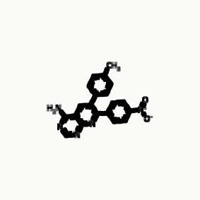 Cc1ccc(-c2cc3c(N)ncnc3nc2-c2ccc([N+](=O)[O-])cc2)cc1